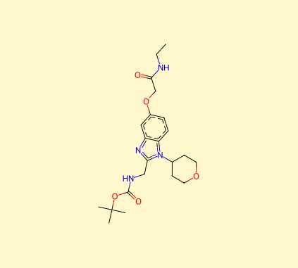 CCNC(=O)COc1ccc2c(c1)nc(CNC(=O)OC(C)(C)C)n2C1CCOCC1